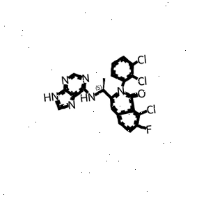 C[C@H](Nc1ncnc2[nH]cnc12)c1cc2ccc(F)c(Cl)c2c(=O)n1-c1cccc(Cl)c1Cl